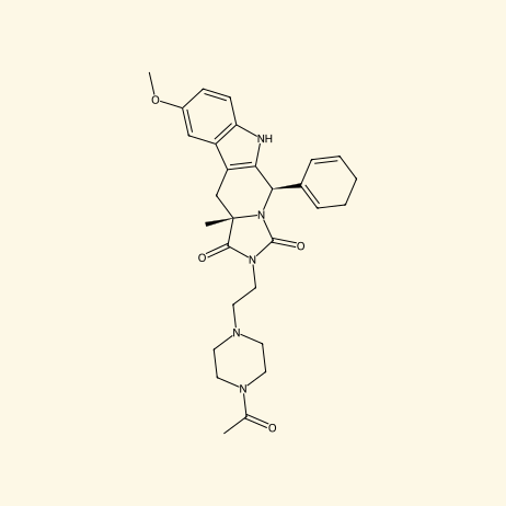 COc1ccc2[nH]c3c(c2c1)C[C@@]1(C)C(=O)N(CCN2CCN(C(C)=O)CC2)C(=O)N1[C@@H]3C1=CCCC=C1